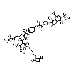 CC(C)C(NC(=O)CCCCCN1C(=O)C=CC1=O)C(=O)N[C@@H](CCCNC(N)=O)C(=O)Nc1ccc(COC(=O)NC2CCN(c3c(F)cc4c(=O)c(C(=O)O)cn(C5CC5)c4c3Cl)C2)cc1